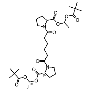 CC(OC(=O)C1CCCN1C(=O)CCCCC(=O)N1CCC[C@@H]1C(=O)O[C@H](C)OC(=O)C(C)(C)C)OC(=O)C(C)(C)C